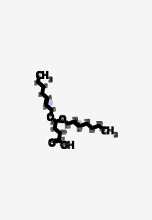 CCCC/C=C/COC(CCC(=O)O)OC/C=C/CCCC